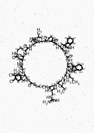 CCCC[C@H]1C(=O)N(C)[C@@H](CCCC)C(=O)N[C@@H](CCCNC(=N)N)C(=O)NCCSCC(=O)N[C@@H](Cc2ccc(Cl)c(Cl)c2)C(=O)N(C)[C@@H](C)C(=O)N[C@H]2CC(=O)NCCCC(NC2=O)C(=O)N[C@@H](CN)C(=O)N[C@@H](CC(C)C)C(=O)N2CCC[C@H]2C(=O)N[C@@H](Cc2c[nH]c3ccccc23)C(=O)NCC(=O)N[C@@H](Cc2c[nH]c3ccccc23)C(=O)N1C